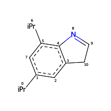 CC(C)c1cc2c(c(C(C)C)c1)N=CC2